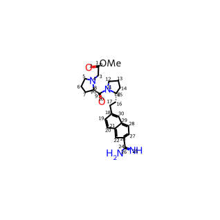 COC(=O)CN1CCC[C@@H]1C(=O)N1CCC[C@@H]1CCc1ccc2cc(C(=N)N)ccc2c1